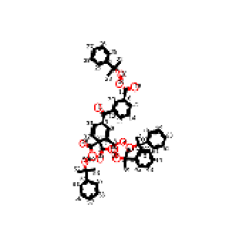 CC(C)(OOC(=O)C1=CC(C(=O)c2cccc(C(=O)OOC(C)(C)c3ccccc3)c2)C=CC1(C(=O)OOC(C)(C)c1ccccc1)C(=O)OOC(C)(C)c1ccccc1)c1ccccc1